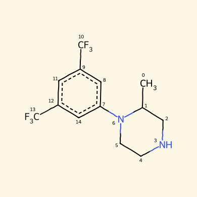 CC1CNCCN1c1cc(C(F)(F)F)cc(C(F)(F)F)c1